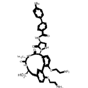 CCCCc1ccc(-c2ccc(C(=O)N[C@H]3CNN([C@@H]4C(=O)N[C@@H](C)C(=O)N[C@H](C(=O)O)Cc5ccc(OCCN)c(c5)-c5cc4ccc5OCCN)C3=O)cc2)cc1